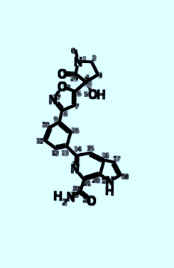 CN1CC[C@@](O)(c2cc(-c3cccc(-c4cc5cc[nH]c5c(C(N)=O)n4)c3)no2)C1=O